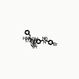 CC(C)CN(C[C@@H](O)[C@H](Cc1ccccc1)NC(=O)O)S(=O)(=O)c1ccc(-c2noc(-c3ccc(Br)cc3)n2)cc1